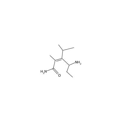 CCC(N)C(=C(C)C(N)=O)C(C)C